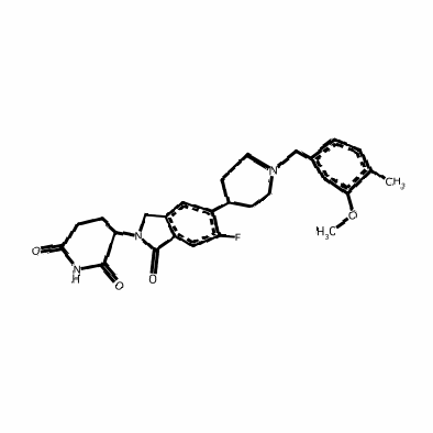 COc1cc(CN2CCC(c3cc4c(cc3F)C(=O)N(C3CCC(=O)NC3=O)C4)CC2)ccc1C